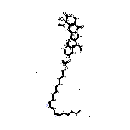 CCCCC/C=C\C/C=C\CCCCCCCCOC(=O)Oc1ccc2nc3c(c(CC)c2c1)Cn1c-3cc2c(c1=O)COC(=O)[C@]2(O)CC